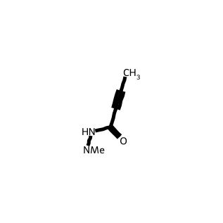 CC#CC(=O)NNC